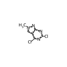 Cn1cc2c(Cl)nc(Cl)nc2n1